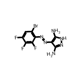 Nc1n[nH]c(N)c1N=Nc1c(Br)cc(F)c(F)c1F